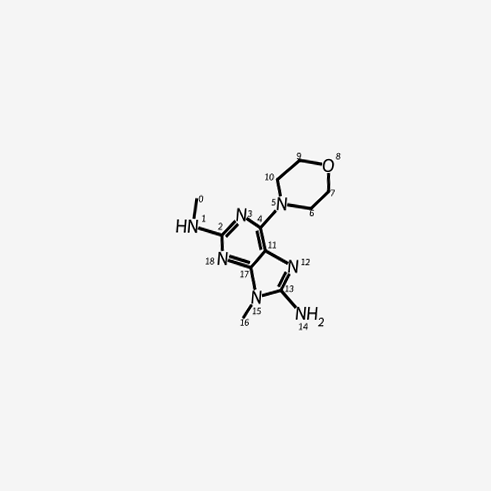 CNc1nc(N2CCOCC2)c2nc(N)n(C)c2n1